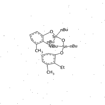 CCC[CH2][Sn]([CH2]CCC)([O]c1cccc(C)c1CC)[O][Sn]([CH2]CCC)([CH2]CCC)[O]c1cccc(C)c1CC